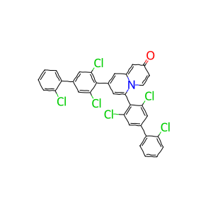 O=c1ccn2c(-c3c(Cl)cc(-c4ccccc4Cl)cc3Cl)cc(-c3c(Cl)cc(-c4ccccc4Cl)cc3Cl)cc2c1